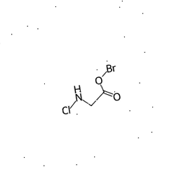 O=C(CNCl)OBr